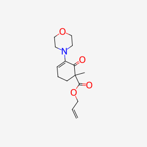 C=CCOC(=O)C1(C)CCC=C(N2CCOCC2)C1=O